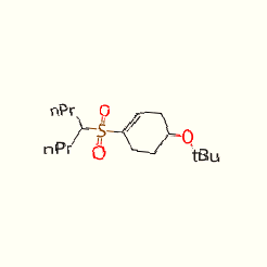 CCCC(CCC)S(=O)(=O)C1=CCC(OC(C)(C)C)CC1